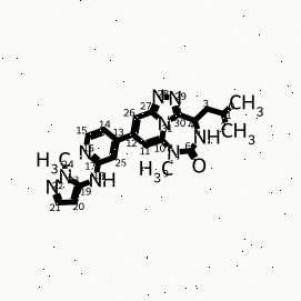 CC(C)CC1NC(=O)N(C)c2cc(-c3ccnc(Nc4ccnn4C)c3)cc3nnc1n23